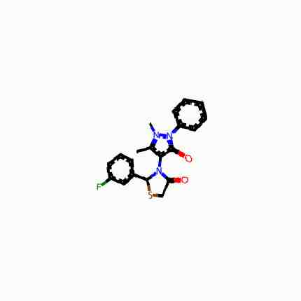 Cc1c(N2C(=O)CSC2c2cccc(F)c2)c(=O)n(-c2ccccc2)n1C